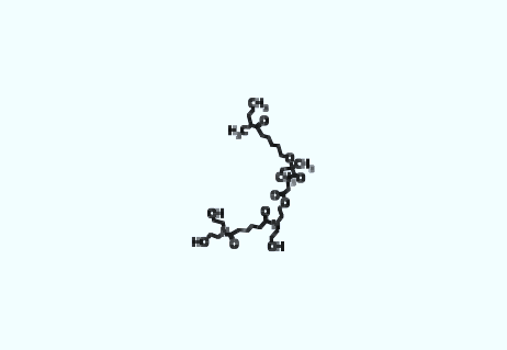 CCCC(C)C(=O)CCCCCOC(C)(CC)C(=O)CCC(=O)OCCN(CCO)C(=O)CCCCC(=O)N(CCO)CCO